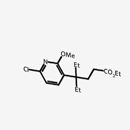 CCOC(=O)CCC(CC)(CC)c1ccc(Cl)nc1OC